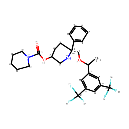 CC(OC[C@@]1(c2ccccc2)CCC(OC(=O)N2CCCCC2)CN1)c1cc(C(F)(F)F)cc(C(F)(F)F)c1